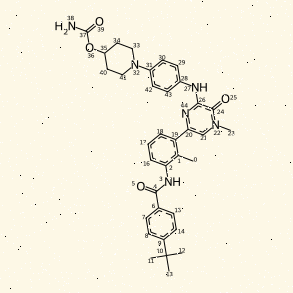 Cc1c(NC(=O)c2ccc(C(C)(C)C)cc2)cccc1-c1cn(C)c(=O)c(Nc2ccc(N3CCC(OC(N)=O)CC3)cc2)n1